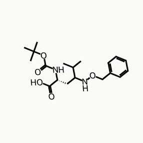 CC(C)C(C[C@@H](NC(=O)OC(C)(C)C)C(=O)O)NOCc1ccccc1